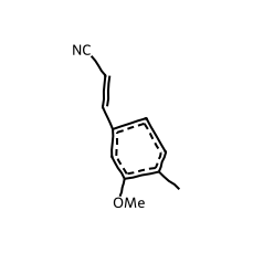 COc1cc(C=CC#N)ccc1C